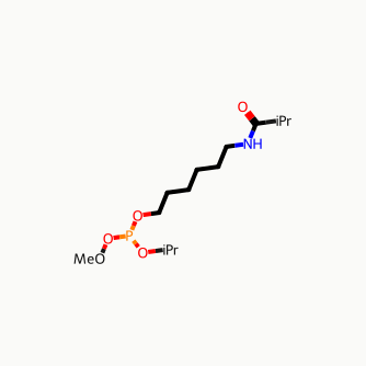 COOP(OCCCCCCNC(=O)C(C)C)OC(C)C